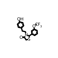 O=C1CSC(c2cccc(OC(F)(F)F)c2)N1CCc1ccc(O)cc1